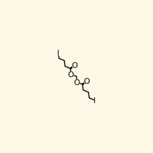 O=C(CCCI)OCOC(=O)CCCI